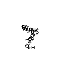 Cc1cc(OC[C@H](C)c2sc(-c3ccc(C(F)(F)F)cc3)nc2C(C)C)ccc1CCC(=O)O